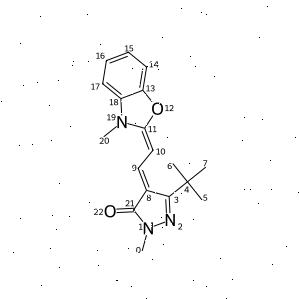 CN1N=C(C(C)(C)C)/C(=C\C=C2\Oc3ccccc3N2C)C1=O